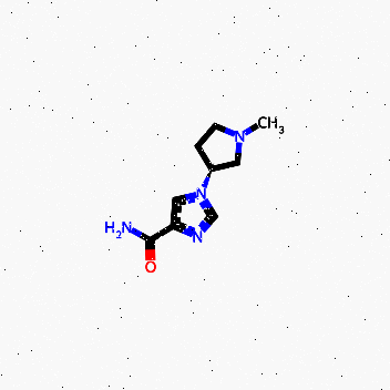 CN1CC[C@H](n2cnc(C(N)=O)c2)C1